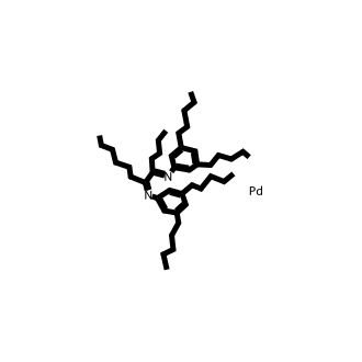 CCCCCCC(=Nc1cc(CCCCC)cc(CCCCC)c1)C(CCCC)=Nc1cc(CCCCC)cc(CCCCC)c1.[Pd]